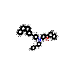 c1ccc(-c2cccc(N(c3ccc(-c4ccc5c(ccc6ccc7ccccc7c65)c4)cc3)c3ccc4c(c3)oc3c5ccccc5ccc43)c2)cc1